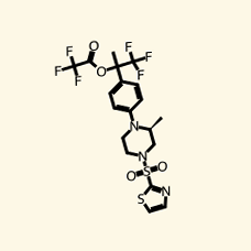 C[C@H]1CN(S(=O)(=O)c2nccs2)CCN1c1ccc(C(C)(OC(=O)C(F)(F)F)C(F)(F)F)cc1